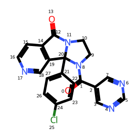 O=C(c1cncnc1)N1CCN2C(=O)c3ccncc3C12c1ccc(Cl)cc1